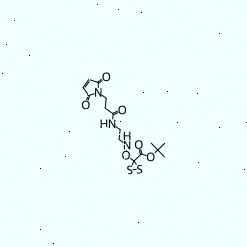 CC(C)(C)OC(=O)C1(ONCCNC(=O)CCN2C(=O)C=CC2=O)SS1